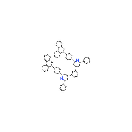 c1ccc(-c2cc(-c3cccc(-c4cc(-c5ccccc5)nc(-c5ccc(-c6cc7ccccc7c7ccccc67)cc5)c4)c3)cc(-c3ccc(-c4cc5ccccc5c5ccccc45)cc3)n2)cc1